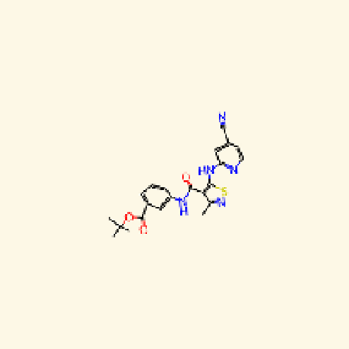 Cc1nsc(Nc2cc(C#N)ccn2)c1C(=O)Nc1cccc(C(=O)OC(C)(C)C)c1